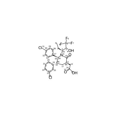 CC[C@@H](C(O)C(F)(F)F)N1C(=O)[C@@H](CC(=O)O)C[C@H](c2cccc(Cl)c2)[C@H]1c1ccc(Cl)cc1